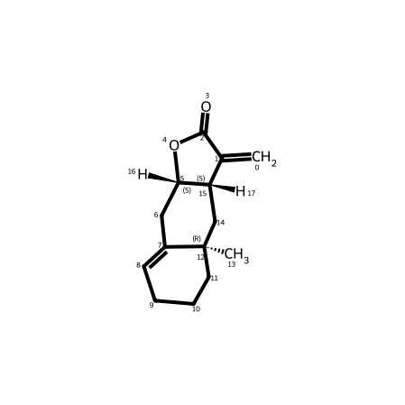 C=C1C(=O)O[C@H]2CC3=CCCC[C@]3(C)C[C@@H]12